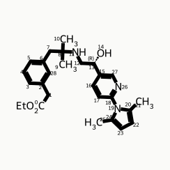 CCOC(=O)Cc1cccc(CC(C)(C)NC[C@H](O)c2ccc(-n3c(C)ccc3C)nc2)c1